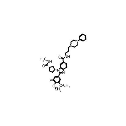 CNC(=O)[C@H]1CC[C@H](n2c(-c3cc(I)c(OC)c(OC)c3)nc3ccc(C(=O)NCCCN4CCN(c5ccccc5)CC4)cc32)C1